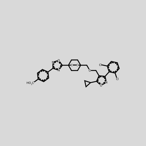 O=C(O)c1ccc(-c2noc(C34CCC(COCc5c(-c6c(Cl)cccc6Cl)noc5C5CC5)(CC3)CC4)n2)cc1